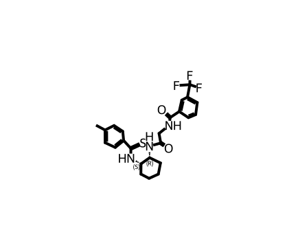 Cc1ccc(C(=S)N[C@H]2CCCC[C@H]2NC(=O)CNC(=O)c2cccc(C(F)(F)F)c2)cc1